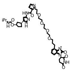 CC(C)NC(=O)O[C@@H]1CC[C@H](c2cc(NC(=O)c3ccnn3CCOCCOCCOCCOCCCc3cccc4c3n(C)c(=O)n4C3CCC(=O)NC3=O)n[nH]2)C1